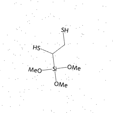 CO[Si](OC)(OC)C(S)CS